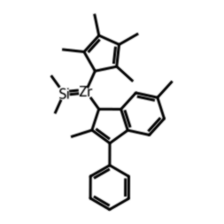 CC1=C(C)[CH]([Zr]([CH]2C(C)=C(c3ccccc3)c3ccc(C)cc32)=[Si](C)C)C(C)=C1C